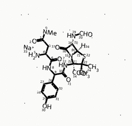 CNC(=O)CC(N)C(=O)NC(C(=O)N[C@@]1(C(=O)[O-])N2C(=O)[C@H](NC=O)[C@H]2SC1(C)C)c1ccc(O)cc1.[Na+]